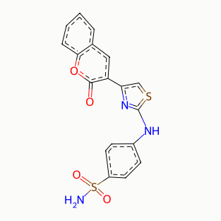 NS(=O)(=O)c1ccc(Nc2nc(-c3cc4ccccc4oc3=O)cs2)cc1